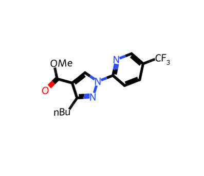 CCCCc1nn(-c2ccc(C(F)(F)F)cn2)cc1C(=O)OC